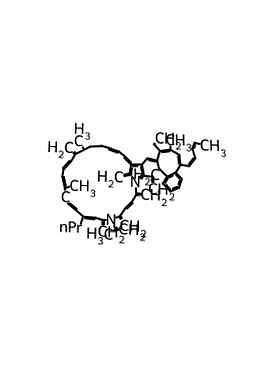 C=C/C1=C(C)/C=C(/C=C\C=C/C)c2ccccc2C(=C)\C1=C/c1c(C=C)n2c(=C)/c1=C\C=C/CCC(C)C(=C)/C=C\C=C(/C)C/C=C\C(CCC)=C/C(=C)N(C(=C)C)C(=C)/C=C\C2=C